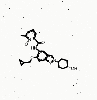 Cc1cccc(C(=O)Nc2cc3cn([C@H]4CC[C@@H](O)CC4)nc3cc2OCC2CC2)[n+]1[O-]